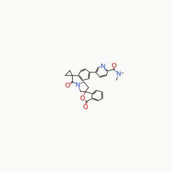 CN(C)C(=O)c1ccc(-c2ccc(C3(C(=O)N4CCC5(C4)OC(=O)c4ccccc45)CC3)cc2)cn1